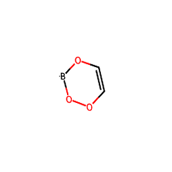 [B]1OC=COO1